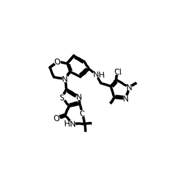 Cc1nn(C)c(Cl)c1CNc1ccc2c(c1)N(c1nc3c(s1)C(=O)NC(C)(C)C3)CCO2